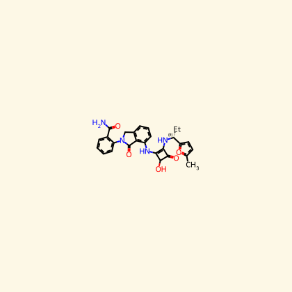 CC[C@@H](NC1=C(Nc2cccc3c2C(=O)N(c2ccccc2C(N)=O)C3)C(O)C1=O)c1ccc(C)o1